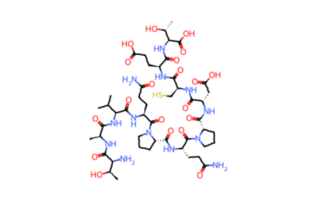 CC(C)[C@H](NC(=O)[C@H](C)NC(=O)[C@@H](N)[C@@H](C)O)C(=O)N[C@@H](CCC(N)=O)C(=O)N1CCC[C@H]1C(=O)N[C@@H](CCC(N)=O)C(=O)N1CCC[C@H]1C(=O)N[C@@H](CC(=O)O)C(=O)N[C@@H](CS)C(=O)N[C@@H](CCC(=O)O)C(=O)N[C@H](C(=O)O)[C@@H](C)O